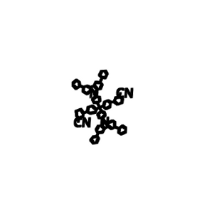 N#Cc1cccc(-c2ccc(C(c3ccc(-c4cccc(C#N)c4)cc3)(c3ccc(-n4c5ccc(-c6ccccc6)cc5c5cc(-c6ccccc6)ccc54)cc3)c3ccc(-n4c5ccc(-c6ccccc6)cc5c5cc(-c6ccccc6)ccc54)cc3)cc2)c1